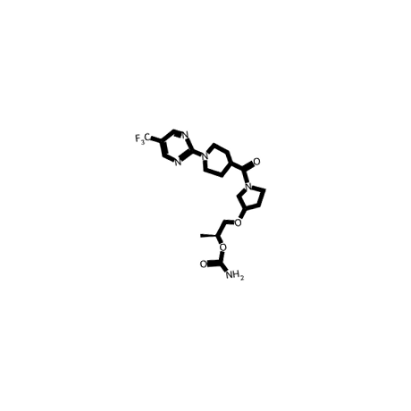 C[C@@H](COC1CCN(C(=O)C2CCN(c3ncc(C(F)(F)F)cn3)CC2)C1)OC(N)=O